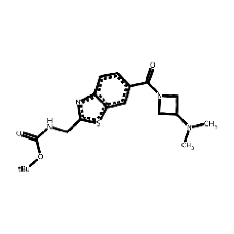 CN(C)C1CN(C(=O)c2ccc3nc(CNC(=O)OC(C)(C)C)sc3c2)C1